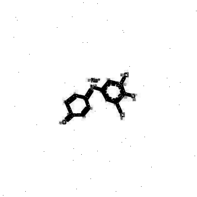 O=C1C=CC(=Nc2cc(Cl)c([O-])c(Cl)c2)C=C1.[Na+]